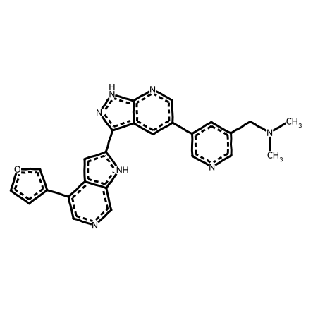 CN(C)Cc1cncc(-c2cnc3[nH]nc(-c4cc5c(-c6ccoc6)cncc5[nH]4)c3c2)c1